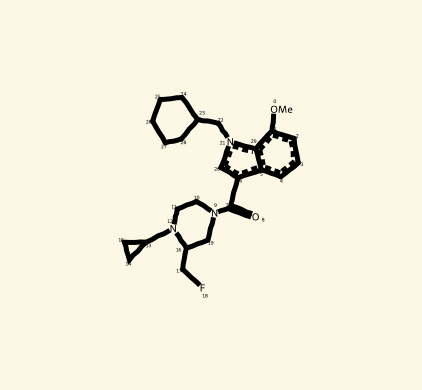 COc1cccc2c(C(=O)N3CCN(C4CC4)C(CF)C3)cn(CC3CCCCC3)c12